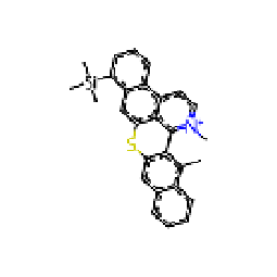 Cc1c2c(cc3ccccc13)Sc1cc3c([Si](C)(C)C)cccc3c3cc[n+](C)c-2c13